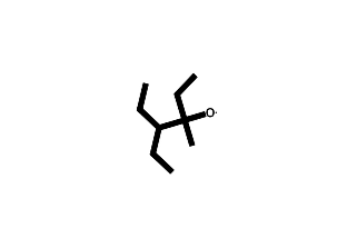 CCC(CC)C(C)([O])CC